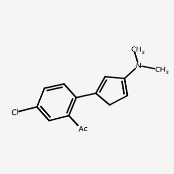 CC(=O)c1cc(Cl)ccc1C1=CC(N(C)C)=CC1